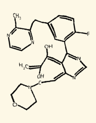 C=C(O)/C(O)=c1/c(-c2cc(Cc3nccnc3C)ccc2F)ncn/c1=C/CN1CCOCC1